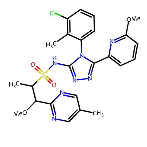 COc1cccc(-c2nnc(NS(=O)(=O)C(C)C(OC)c3ncc(C)cn3)n2-c2cccc(Cl)c2C)n1